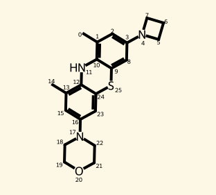 Cc1cc(N2CCC2)cc2c1Nc1c(C)cc(N3CCOCC3)cc1S2